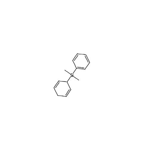 C[Si](C)(c1ccccc1)C1C=CCC=C1